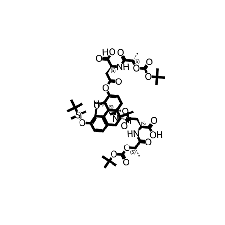 C[C@H](OC(=O)OC(C)(C)C)C(=O)N[C@@H](CC(=O)OC1=CC[C@@]2(OC(=O)C[C@H](NC(=O)[C@H](C)OC(=O)OC(C)(C)C)C(=O)O)[C@H]3Cc4ccc(O[Si](C)(C)C(C)(C)C)c5c4[C@@]2(CCN3C)[C@H]1O5)C(=O)O